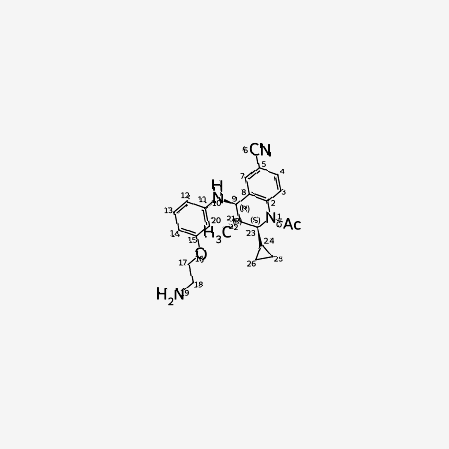 CC(=O)N1c2ccc(C#N)cc2[C@H](Nc2cccc(OCCN)c2)[C@@H](C)[C@@H]1C1CC1